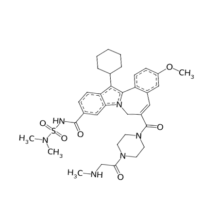 CNCC(=O)N1CCN(C(=O)C2=Cc3cc(OC)ccc3-c3c(C4CCCCC4)c4ccc(C(=O)NS(=O)(=O)N(C)C)cc4n3C2)CC1